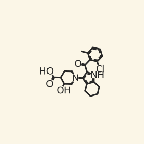 Cc1cccc(Cl)c1C(=O)c1[nH]c2c(c1N1CCC(C(=O)O)C(O)C1)CCCC2